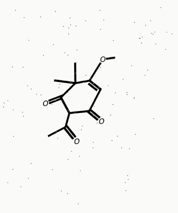 COC1=CC(=O)C(C(C)=O)C(=O)C1(C)C